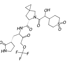 O=C(COC(F)(F)F)C(C[C@@H]1CCNC1=O)NC(=O)[C@@H]1CC2(CC2)CN1C(=O)C(O)C1CCS(=O)(=O)CC1